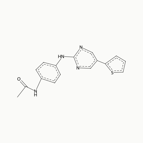 CC(=O)Nc1ccc(Nc2ncc(-c3cccs3)cn2)cc1